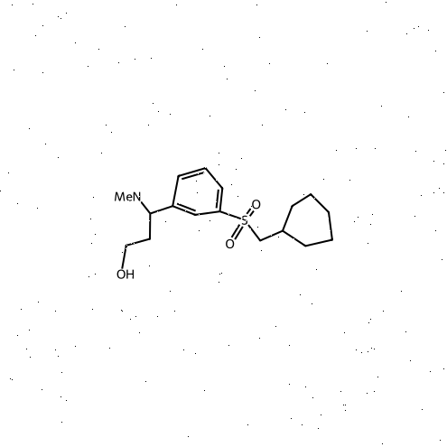 CNC(CCO)c1cccc(S(=O)(=O)CC2CCCCC2)c1